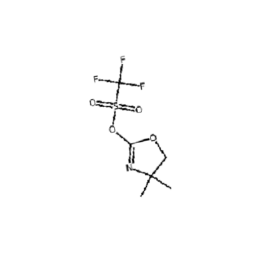 CC1(C)COC(OS(=O)(=O)C(F)(F)F)=N1